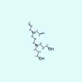 C=CCN(CC=C)CCCN(CCCO)CCCO